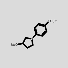 CCOC(=O)c1ccc(N2CCC(OC)C2)cc1